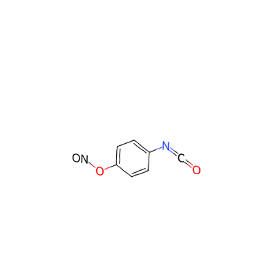 O=C=Nc1ccc(ON=O)cc1